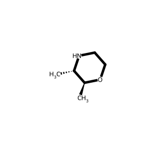 C[C@@H]1NCCO[C@H]1C